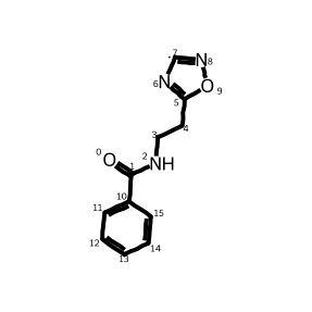 O=C(NCCc1n[c]no1)c1ccccc1